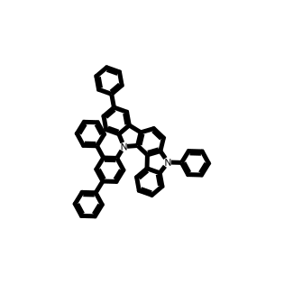 c1ccc(-c2ccc(-n3c4ccc(-c5ccccc5)cc4c4ccc5c(c6ccccc6n5-c5ccccc5)c43)c(-c3ccccc3)c2)cc1